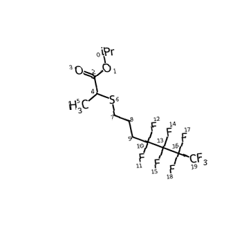 CC(C)OC(=O)C(C)SCCCC(F)(F)C(F)(F)C(F)(F)C(F)(F)F